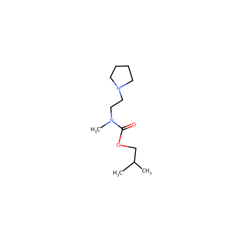 CC(C)COC(=O)N(C)CCN1CCCC1